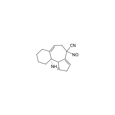 N#CC1(N=O)CC=C2CCCC[C@]2(N)C2CCC=C21